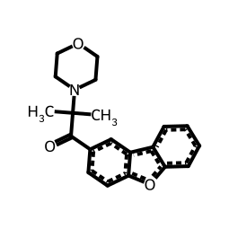 CC(C)(C(=O)c1ccc2oc3ccccc3c2c1)N1CCOCC1